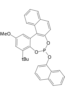 COc1cc(C(C)(C)C)c2op(Oc3cccc4ccccc34)oc3ccc4ccccc4c3c2c1